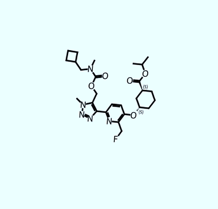 CC(C)OC(=O)[C@H]1CCC[C@H](Oc2ccc(-c3nnn(C)c3COC(=O)N(C)CC3CCC3)nc2CF)C1